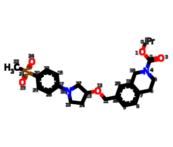 CC(C)OC(=O)N1CCc2ccc(COC3CCN(c4ccc(S(C)(=O)=O)cc4)C3)cc2C1